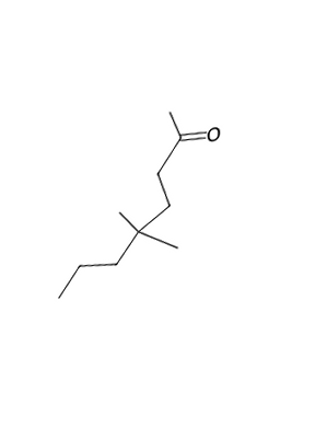 CCCC(C)(C)CCC(C)=O